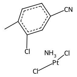 Cc1ccc(C#N)cc1Cl.N.[Cl][Pt][Cl]